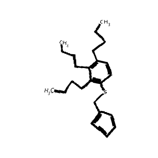 CCCCc1c[c]c(SCc2ccccc2)c(CCCC)c1CCCC